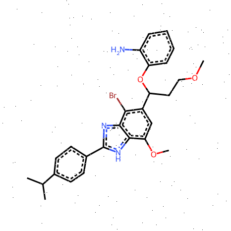 COCCC(Oc1ccccc1N)c1cc(OC)c2[nH]c(-c3ccc(C(C)C)cc3)nc2c1Br